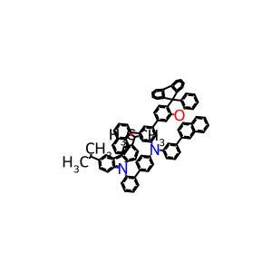 CC(C)c1ccc2c(c1)c1cc(C(C)C)ccc1n2-c1ccccc1-c1ccc(N(c2cccc(-c3ccc4ccccc4c3)c2)c2cc(-c3ccc4c(c3)Oc3ccccc3C43c4ccccc4-c4ccccc43)cc(-c3cccc4ccccc34)c2)cc1